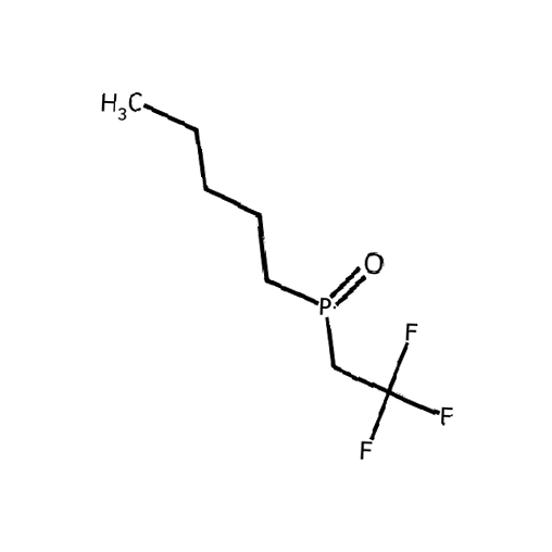 CCCCC[P](=O)CC(F)(F)F